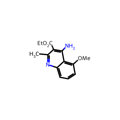 CCOC(=O)c1c(C)nc2cccc(OC)c2c1N